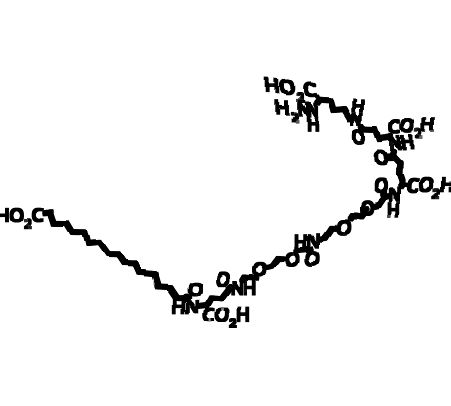 NN[C@@H](CCCCNC(=O)CC[C@H](NC(=O)CC[C@H](NC(=O)COCCOCCNC(=O)COCCOCCNC(=O)CC[C@H](NC(=O)CCCCCCCCCCCCCCCCC(=O)O)C(=O)O)C(=O)O)C(=O)O)C(=O)O